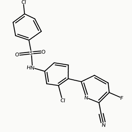 N#Cc1nc(-c2ccc(NS(=O)(=O)c3ccc(Cl)cc3)cc2Cl)ccc1F